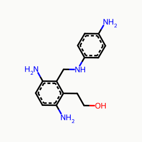 Nc1ccc(NCc2c(N)ccc(N)c2CCO)cc1